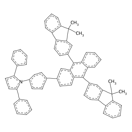 CC1(C)c2ccccc2-c2ccc(-c3c4ccccc4c(-c4ccc5c(c4)C(C)(C)c4ccccc4-5)c4cc(-c5ccc(-n6c(-c7ccccc7)ccc6-c6ccccc6)cc5)ccc34)cc21